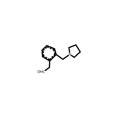 O=CCc1ccccc1CN1CCCC1